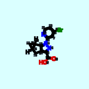 O=C(O)c1nn(-c2cc(Br)ccn2)c2c1C[C@@H]1C[C@H]21